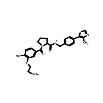 COCCOc1cc(C(=O)N2CCCC2C(=O)NCc2ccc(-c3scnc3C)cc2)ccc1O